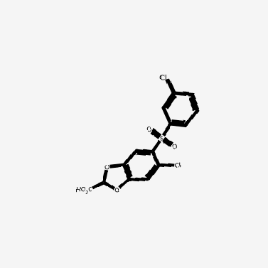 O=C(O)C1Oc2cc(Cl)c(S(=O)(=O)c3cccc(Cl)c3)cc2O1